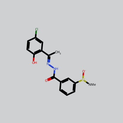 CN[S+]([O-])c1cccc(C(=O)N/N=C(\C)c2cc(Cl)ccc2O)c1